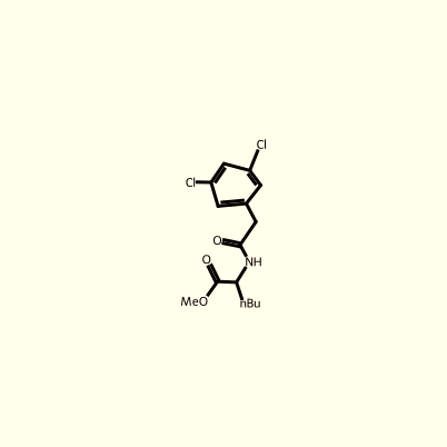 CCCCC(NC(=O)Cc1cc(Cl)cc(Cl)c1)C(=O)OC